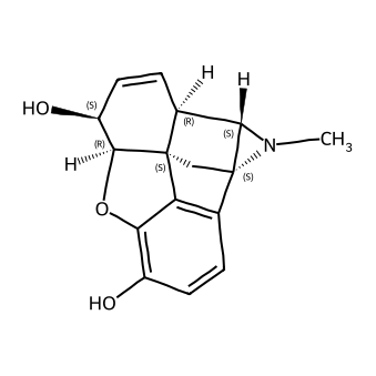 CN1[C@H]2[C@@H]3C=C[C@H](O)[C@@H]4Oc5c(O)ccc6c5[C@]34C[C@]621